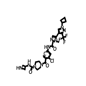 Cn1c(-c2cn(C3CCC3)nc2C(F)(F)F)cnc1C(=O)Nc1ccc(C(=O)N2CCN(C(=O)NC3CNC3)CC2)c(Cl)c1